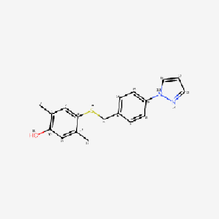 Cc1cc(SCc2ccc(-n3cccn3)cc2)c(C)cc1O